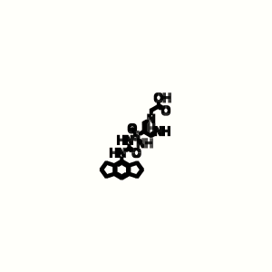 N=C/C(=C\NCC(=O)O)S(=N)(=O)NC(=O)Nc1c2c(cc3c1CCC3)CCC2